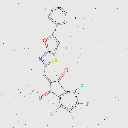 O=C1C(=Cc2nc3oc(-c4ccccc4)cc3s2)C(=O)c2c(F)c(F)c(F)c(F)c21